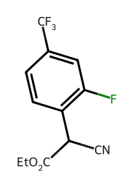 CCOC(=O)C(C#N)c1ccc(C(F)(F)F)cc1F